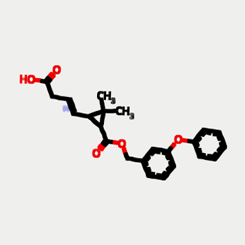 CC1(C)C(/C=C/CC(=O)O)C1C(=O)OCc1cccc(Oc2ccccc2)c1